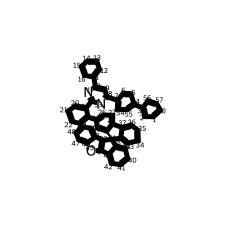 c1ccc(-c2ccc(-c3cc(-c4ccccc4)nc(-c4ccccc4-c4ccc5c(c4)[C@@]4(c6ccccc6-5)c5ccccc5-c5oc6ccccc6c54)n3)cc2)cc1